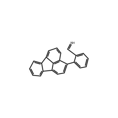 N=Cc1ccccc1-c1ccc2c3c(cccc13)-c1ccccc1-2